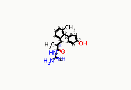 C/C(=C\c1cccc(C)c1-c1ccc(O)cc1)C(=O)NC(=N)N